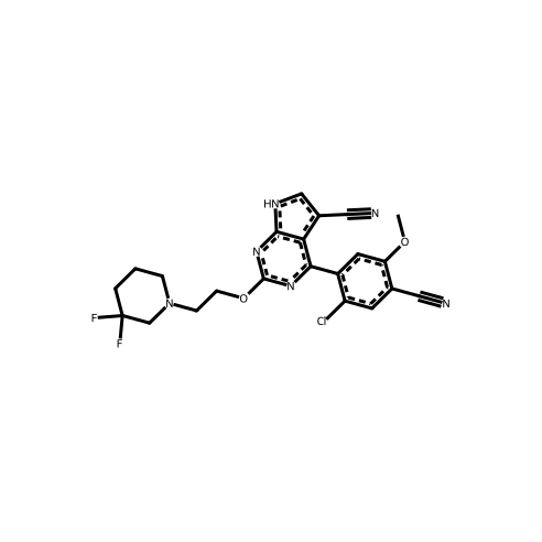 COc1cc(-c2nc(OCCN3CCCC(F)(F)C3)nc3[nH]cc(C#N)c23)c(Cl)cc1C#N